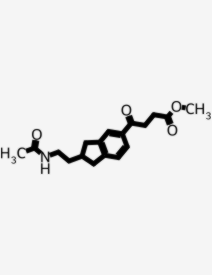 COC(=O)CCC(=O)c1ccc2c(c1)CC(CCNC(C)=O)C2